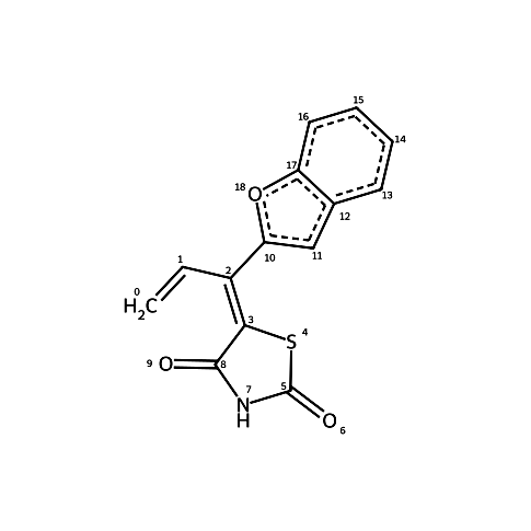 C=CC(=C1SC(=O)NC1=O)c1cc2ccccc2o1